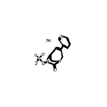 O=C1N2CC(c3cccnc3)=CC(C2)N1OS(=O)(=O)[O-].[Na+]